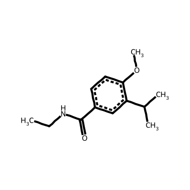 CCNC(=O)c1ccc(OC)c(C(C)C)c1